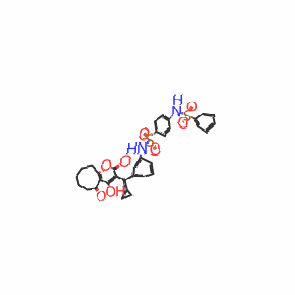 O=C1CCCCCc2oc(=O)c(C(c3cccc(NS(=O)(=O)c4ccc(NS(=O)(=O)c5ccccc5)cc4)c3)C3CC3)c(O)c21